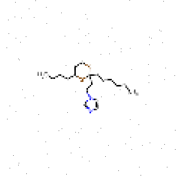 CCCCCCC1(CCn2ccnc2)SCCC(CCCC)S1